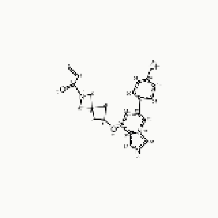 C=CC(=O)N1CC2(CC(Oc3cc(-c4ccc(O)cc4)cn4cncc34)C2)C1